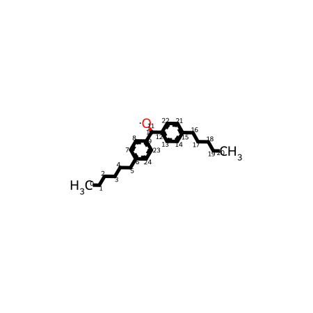 CCCCCCc1ccc(C([O])c2ccc(CCCCC)cc2)cc1